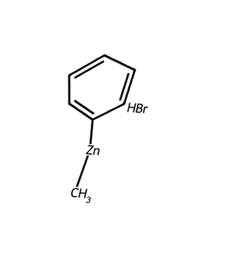 Br.[CH3][Zn][c]1ccccc1